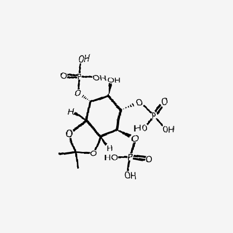 CC1(C)O[C@@H]2[C@H](O1)[C@H](OP(=O)(O)O)[C@@H](O)[C@H](OP(=O)(O)O)[C@H]2OP(=O)(O)O